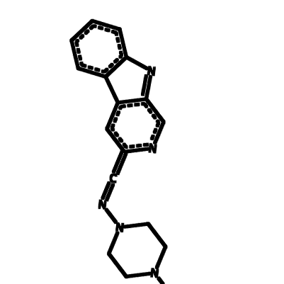 CN1CCN(N=C=c2cc3c(cn2)=Nc2ccccc2-3)CC1